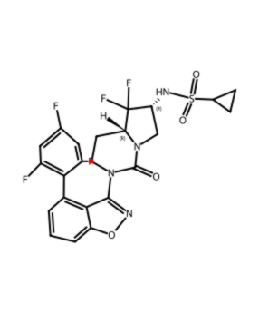 O=C1N(c2noc3cccc(-c4c(F)cc(F)cc4F)c23)CC[C@H]2N1C[C@@H](NS(=O)(=O)C1CC1)C2(F)F